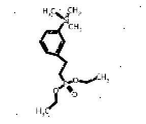 CCOP(=O)(CCc1cccc([Si](C)(C)C)c1)OCC